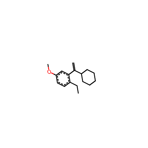 C=C(c1cc(OC)ccc1CC)C1CCCCC1